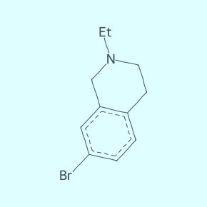 CCN1CCc2ccc(Br)cc2C1